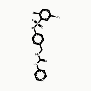 O=C(NCc1ccc(NS(=O)(=O)c2cc(C(F)(F)F)ccc2Cl)cc1)Nc1ccncc1